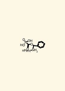 CCCCC[SiH2]C(OC(=O)P(=O)(O)O)c1ccccc1